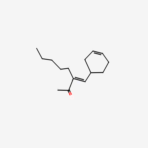 CCCCC/C(=C\C1CC=CCC1)C(C)=O